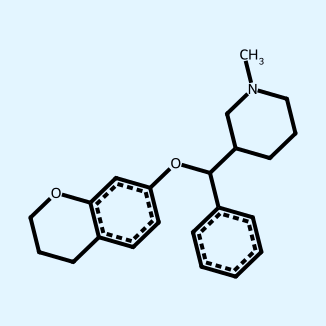 CN1CCCC(C(Oc2ccc3c(c2)OCCC3)c2ccccc2)C1